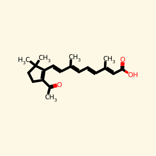 CC(=O)C1=C(/C=C/C(C)=C/C=C/C(C)=C/C(=O)O)C(C)(C)CC1